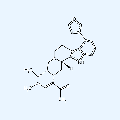 CC[C@@H]1CN2CCc3c([nH]c4cccc(-c5ccoc5)c34)[C@@H]2C[C@@H]1/C(=C\OC)C(C)=O